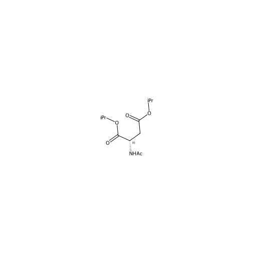 CC(=O)N[C@@H](CC(=O)OC(C)C)C(=O)OC(C)C